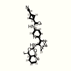 C[C@@H](OC(=O)Nc1c(-c2ccc(NC(=O)C34CC(C#N)(C3)C4)cn2)nnn1C)c1cccnc1F